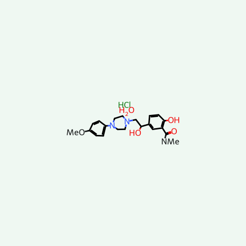 CNC(=O)c1cc(C(O)CN2CCN(c3ccc(OC)cc3)CC2)ccc1O.Cl.O